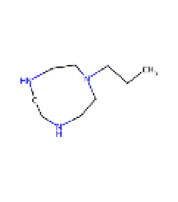 CCCN1CCNCCNCC1